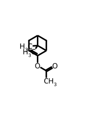 CC(=O)OC1=CCC2CC1C2(C)C